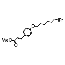 COC(=O)C=Cc1ccc(OCCCCCCC(C)C)cc1